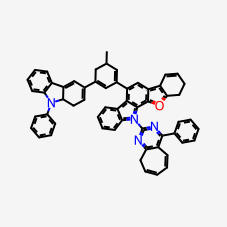 CC1C=C(c2cc3c4c(oc3c3c2c2ccccc2n3-c2nc3c(c(-c5ccccc5)n2)C=CC=CC3)CCC=C4)C=C(C2=CCC3C(=C2)c2ccccc2N3c2ccccc2)C1